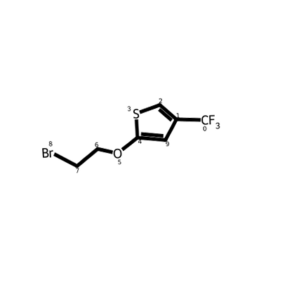 FC(F)(F)c1csc(OCCBr)c1